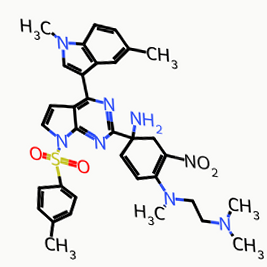 Cc1ccc(S(=O)(=O)n2ccc3c(-c4cn(C)c5ccc(C)cc45)nc(C4(N)C=CC(N(C)CCN(C)C)=C([N+](=O)[O-])C4)nc32)cc1